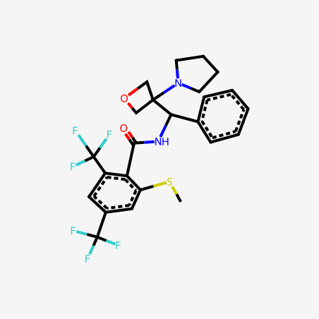 CSc1cc(C(F)(F)F)cc(C(F)(F)F)c1C(=O)NC(c1ccccc1)C1(N2CCCC2)COC1